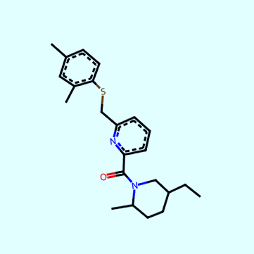 CCC1CCC(C)N(C(=O)c2cccc(CSc3ccc(C)cc3C)n2)C1